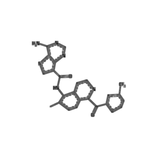 Cc1ccc2c(C(=O)c3cccc(C(F)(F)F)c3)nccc2c1NC(=O)c1csc2c(N)ncnc12